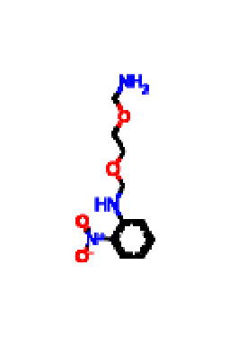 NCOCCOCNc1ccccc1[N+](=O)[O-]